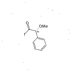 CO[C@@H](C(=O)I)c1ccccc1